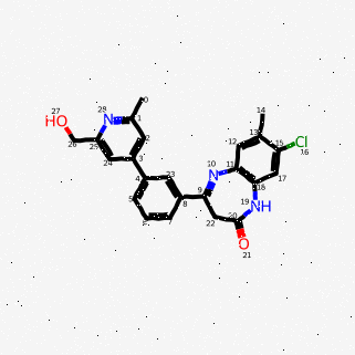 Cc1cc(-c2cccc(C3=Nc4cc(C)c(Cl)cc4NC(=O)C3)c2)cc(CO)n1